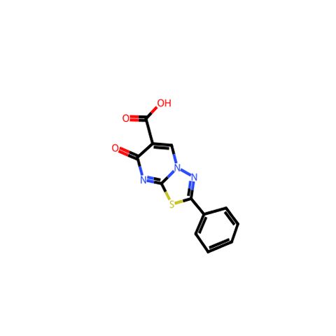 O=C(O)c1cn2nc(-c3ccccc3)sc2nc1=O